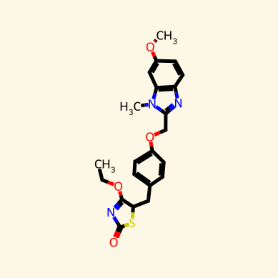 CCOC1=NC(=O)SC1Cc1ccc(OCc2nc3ccc(OC)cc3n2C)cc1